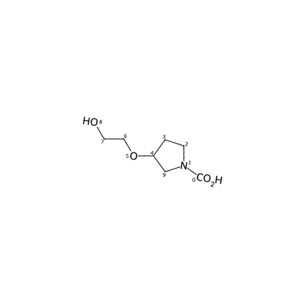 O=C(O)N1CCC(OCCO)C1